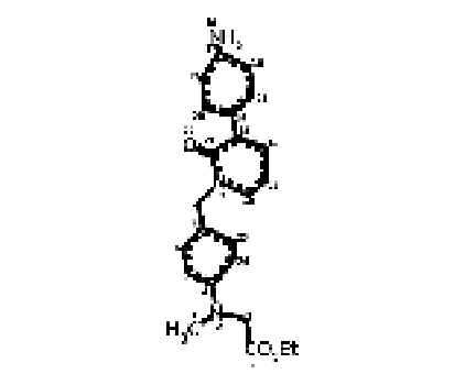 CCOC(=O)CN(C)c1ccc(Cn2cccc(-c3ccc(N)cc3)c2=O)cc1